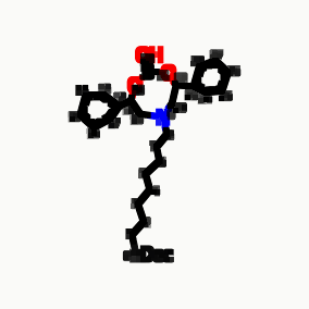 CCCCCCCCCCCCCCCCCCN1CC(c2ccccc2)OB(O)OC(c2ccccc2)C1